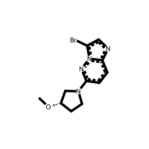 CO[C@H]1CCN(c2ccc3ncc(Br)n3n2)C1